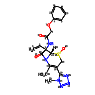 C=CC1(NC(=O)COc2ccccc2)C(=O)N2C(C(=O)O)=C(c3nnnn3C)C[S+]([O-])[C@H]21